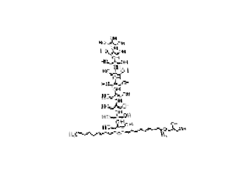 CCCCCCCCCCOCCCCCCCCCC.OCC(O)CO.OCC(O)CO.OCC(O)CO.OCC(O)CO.OCC(O)CO.OCC(O)CO.OCC(O)CO.OCC(O)CO.OCC(O)CO.OCC(O)CO